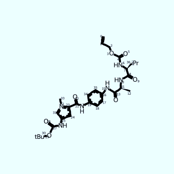 C=CCOC(=O)N[C@H](C(=O)N[C@@H](C)C(=O)Nc1ccc(NC(=O)c2cc(NC(=O)OC(C)(C)C)cn2C)cc1)C(C)C